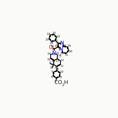 CC1(C)C(c2ccc(C(=O)O)cc2)=CC[C@]2(C)CN(C(=O)c3c(-c4ccccc4)nc4ccccn34)CC=C12